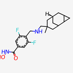 CC1(CNCc2c(F)cc(C(=O)NO)cc2F)CC2C[C@@H](CC3CC32)C1